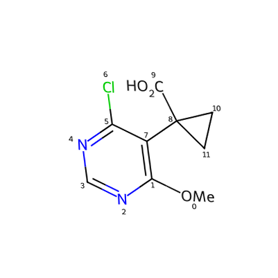 COc1ncnc(Cl)c1C1(C(=O)O)CC1